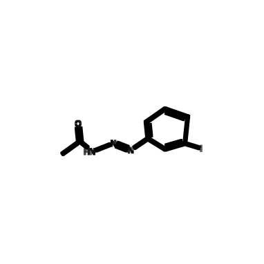 CC(=O)NN=Nc1cccc(I)c1